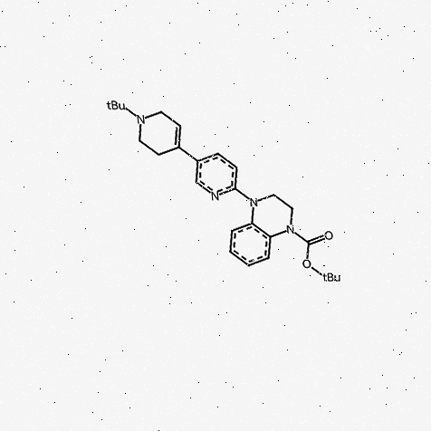 CC(C)(C)OC(=O)N1CCN(c2ccc(C3=CCN(C(C)(C)C)CC3)cn2)c2ccccc21